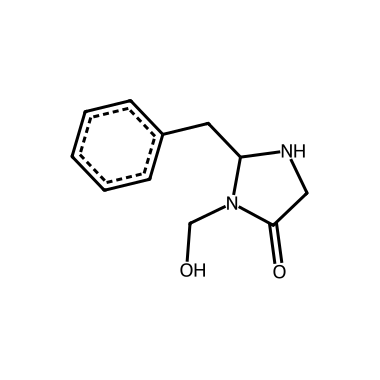 O=C1CNC(Cc2ccccc2)N1CO